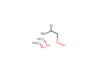 CCC(COO)OC.O=C(O)O.O=C(O)O